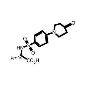 CC(C)[C@H](NS(=O)(=O)c1ccc(N2CCC(=O)CC2)cc1)C(=O)O